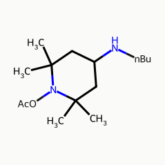 CCCCNC1CC(C)(C)N(OC(C)=O)C(C)(C)C1